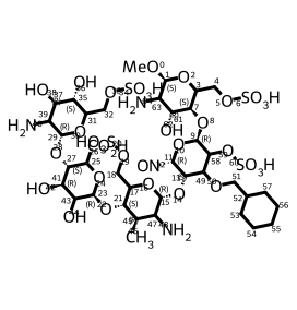 CO[C@H]1OC(COS(=O)(=O)O)[C@@H](O[C@@H]2O[C@@H](N=O)[C@@H](O[C@H]3OC(COS(=O)(=O)O)[C@@H](O[C@@H]4OC(C(=O)O)[C@@H](O[C@H]5OC(COS(=O)(=O)O)[C@@H](O)[C@H](O)C5N)[C@H](O)C4O)[C@H](C)C3N)C(OCC3CCCCC3)C2OS(=O)(=O)O)[C@H](O)C1N